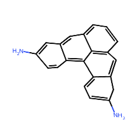 NC1=CC=c2c(cc3cccc4cc5cc(N)ccc5c2c34)C1